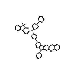 CC1(C)c2ccccc2-c2ccc(N(c3ccc(-c4ccccc4)cc3)c3ccc(-c4ccc5c(c4)c4cc6c(cc4n5-c4ccccc4)Oc4ccccc4O6)cc3)cc21